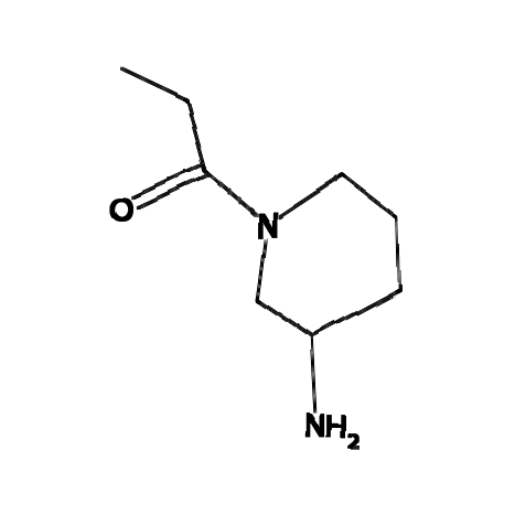 CCC(=O)N1CCCC(N)C1